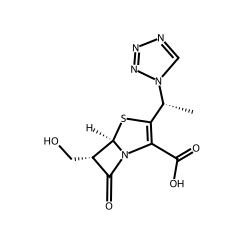 C[C@H](C1=C(C(=O)O)N2C(=O)[C@H](CO)[C@H]2S1)n1cnnn1